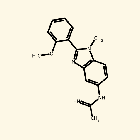 COc1ccccc1-c1nc2cc(NC(C)=N)ccc2n1C